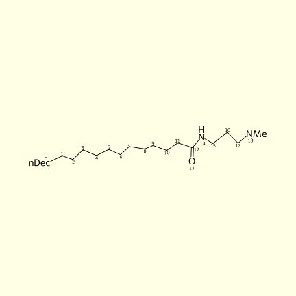 CCCCCCCCCCCCCCCCCCCCCC(=O)NCCCNC